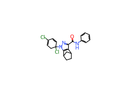 O=C(Nc1ccccc1)c1nn(C2(Cl)C=CC(Cl)=CC2)c2c1C1CCC2C1